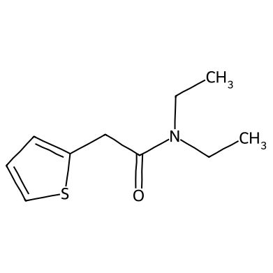 CCN(CC)C(=O)Cc1cccs1